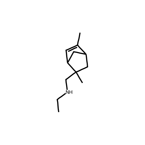 CCNCC1(C)CC2CC1C=C2C